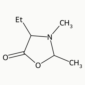 CCC1C(=O)OC(C)N1C